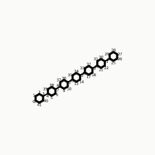 [c]1ccc(-c2ccc(-c3ccc(-c4ccc(-c5ccc(-c6ccc(-c7ccccc7)cc6)cc5)cc4)cc3)cc2)cc1